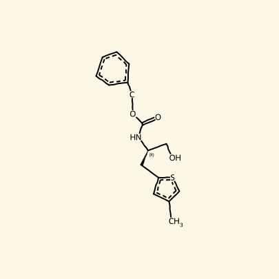 Cc1csc(C[C@H](CO)NC(=O)OCc2ccccc2)c1